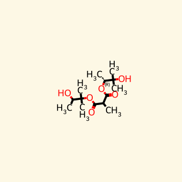 CC(C(=O)O[C@H](C)C(C)(C)O)C(=O)OC(C)(C)C(C)O